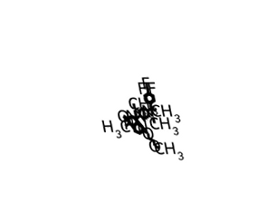 CC[C@H]1CN(C(C)c2ccc(C(F)(F)F)cc2)[C@H](CC)CN1c1nc(=O)n(C)c2ccc(OCCOC)nc12